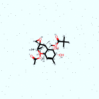 CC(=O)O[C@@H]1C[C@]2(C)[C@@]3(COC(=O)C(C)(C)C)[C@H](O)[C@H](O)C(C)=C[C@H]3O[C@H]1[C@@]21CO1